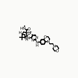 CNC(=O)[C@H]1C[C@H]2C[C@H](C2(C)C)[C@@]1(C)Nc1nc(Nc2ccc3c(c2)OCCN3CCN2CCOCC2)ncc1F